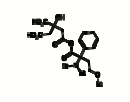 CCOCCC(C(=O)OC(=O)CC(O)(CC(=O)O)C(=O)O)(c1ccccc1)N(CC)CC